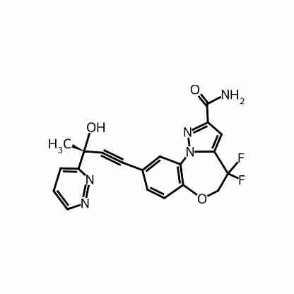 C[C@@](O)(C#Cc1ccc2c(c1)-n1nc(C(N)=O)cc1C(F)(F)CO2)c1cccnn1